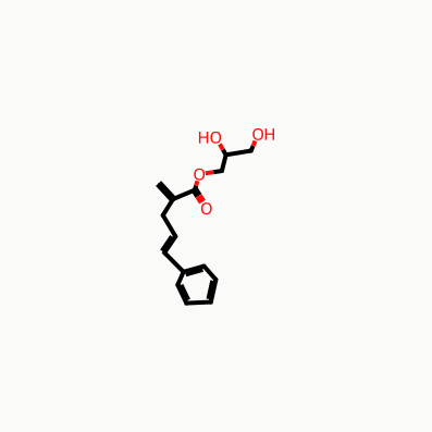 C=C(CC=Cc1ccccc1)C(=O)OCC(O)CO